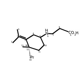 CC(C)=C1CC(NCCC(=O)O)CC[C@]1(C)C(C)C